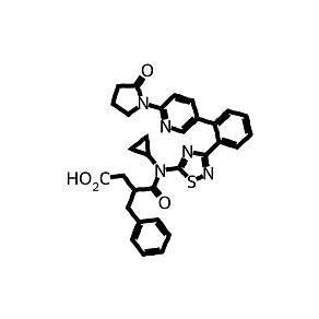 O=C(O)CC(Cc1ccccc1)C(=O)N(c1nc(-c2ccccc2-c2ccc(N3CCCC3=O)nc2)ns1)C1CC1